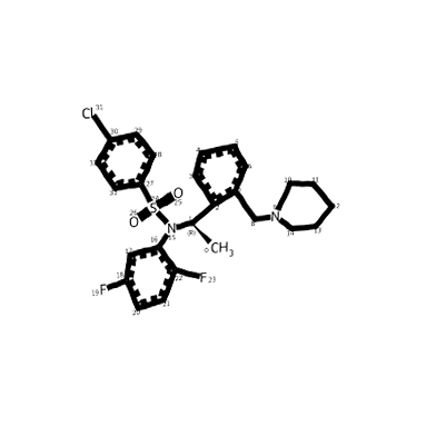 C[C@H](c1ccccc1CN1CCCCC1)N(c1cc(F)ccc1F)S(=O)(=O)c1ccc(Cl)cc1